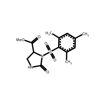 COC(=O)C1CNC(=O)N1S(=O)(=O)c1c(C)cc(C)cc1C